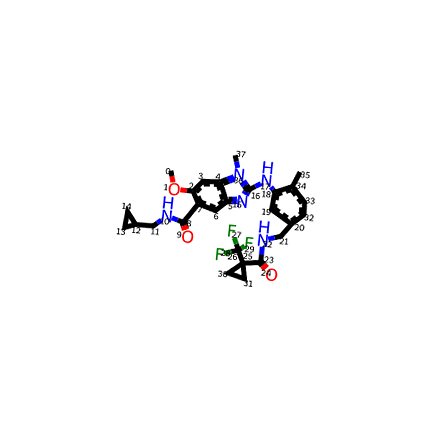 COc1cc2c(cc1C(=O)NCC1CC1)nc(Nc1cc(CNC(=O)C3(C(F)(F)F)CC3)ccc1C)n2C